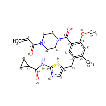 C=CC(=O)N1CCN(C(=O)c2cc(Cc3cnc(NC(=O)C4CC4)s3)c(C)cc2OC)CC1